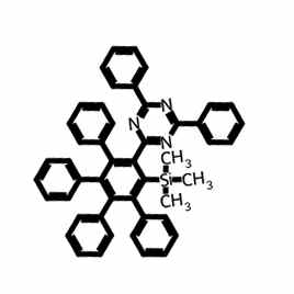 C[Si](C)(C)c1c(-c2ccccc2)c(-c2ccccc2)c(-c2ccccc2)c(-c2ccccc2)c1-c1nc(-c2ccccc2)nc(-c2ccccc2)n1